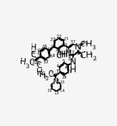 C=C1C(Nc2ccc(C(=C)N3CCCCC3)cc2)NC(c2cccc(-c3ccc(C(C)(C)C)cc3)c2C)=CN1C